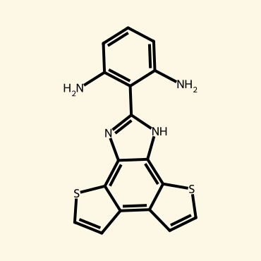 Nc1cccc(N)c1-c1nc2c([nH]1)c1sccc1c1ccsc12